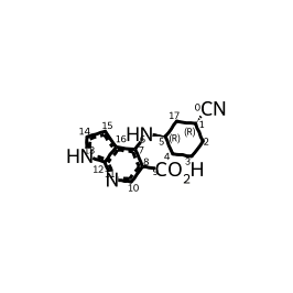 N#C[C@@H]1CCC[C@@H](Nc2c(C(=O)O)cnc3[nH]ccc23)C1